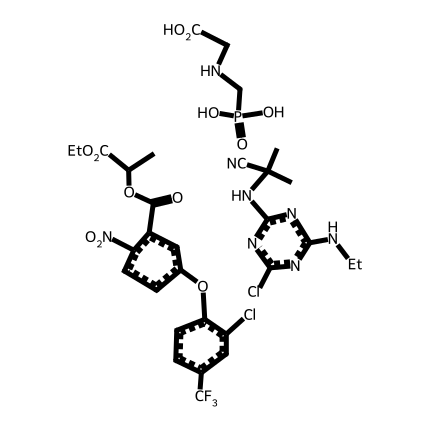 CCNc1nc(Cl)nc(NC(C)(C)C#N)n1.CCOC(=O)C(C)OC(=O)c1cc(Oc2ccc(C(F)(F)F)cc2Cl)ccc1[N+](=O)[O-].O=C(O)CNCP(=O)(O)O